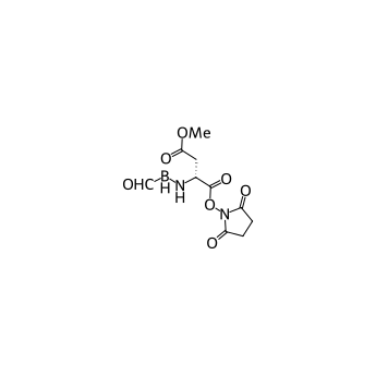 COC(=O)C[C@@H](NBC=O)C(=O)ON1C(=O)CCC1=O